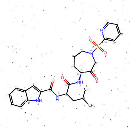 CC(C)CC(NC(=O)c1cc2ccccc2[nH]1)C(=O)N[C@H]1CCCN(S(=O)(=O)c2ccccn2)CC1=O